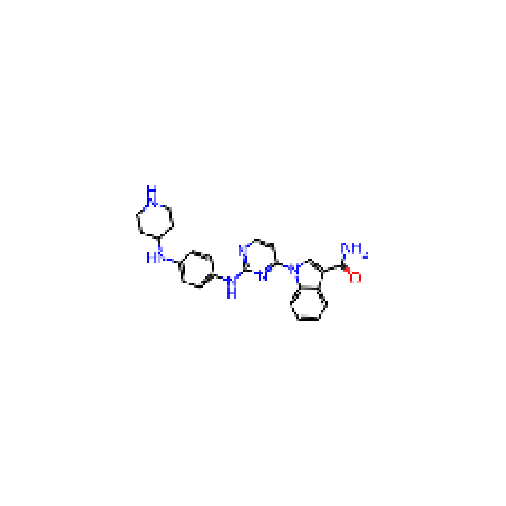 NC(=O)c1cn(-c2ccnc(Nc3ccc(NC4CCNCC4)cc3)n2)c2ccccc12